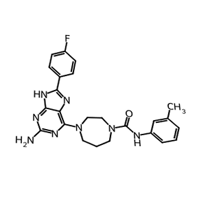 Cc1cccc(NC(=O)N2CCCN(c3nc(N)nc4[nH]c(-c5ccc(F)cc5)nc34)CC2)c1